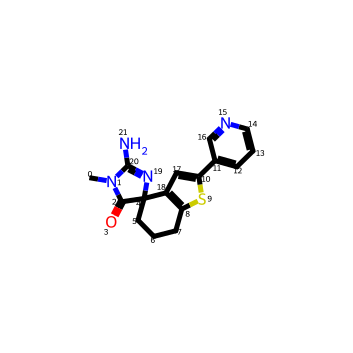 CN1C(=O)C2(CCCc3sc(-c4cccnc4)cc32)N=C1N